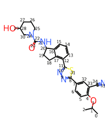 CC(C)Oc1ccc(-c2nnc(-c3cccc4c3CCC4NC(=O)N3CCCC(O)C3)s2)cc1C#N